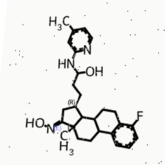 Cc1ccnc(NC(O)CC[C@@H]2C/C(=N\O)[C@@]3(C)CCC4c5cccc(F)c5CCC4C23)c1